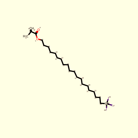 C=C(C)C(=O)OCCCCCCCCCCCCCCCCCCCC[Si](I)(I)I